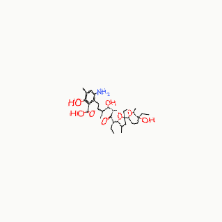 CCC(C(=O)C(C)C(O)C(C)CCc1c(N)cc(C)c(O)c1C(=O)O)C1OC(CC)(C2CCC(O)(CC)C(C)O2)CC1C